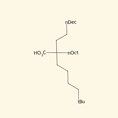 CCCCCCCCCCCCC(CCCCCCCC)(CCCCC(C)(C)C)C(=O)O